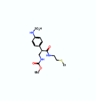 CCSCCNC(=O)[C@@H](CNC(=O)OC(C)(C)C)c1ccc(NS(=O)(=O)O)cc1